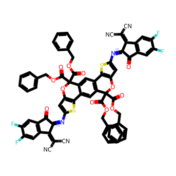 N#CC(C#N)=C1/C(=N/c2cc3c(s2)-c2cc4c(cc2C(C(=O)OCc2ccccc2)(C(=O)OCc2ccccc2)O3)-c2sc(/N=C3\C(=O)c5cc(F)c(F)cc5C3=C(C#N)C#N)cc2OC4(C(=O)OCc2ccccc2)C(=O)OCc2ccccc2)C(=O)c2cc(F)c(F)cc21